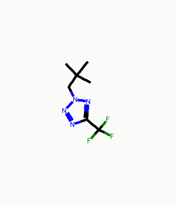 CC(C)(C)Cn1nnc(C(F)(F)F)n1